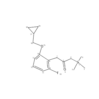 C[Si](C)(C)CC(=O)Cc1c(F)cccc1OCC1CC1